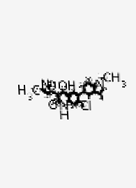 CCn1ccc2cc(-c3cc4c(O)c(-c5cc(C)no5)c(=O)[nH]c4cc3Cl)ccc21